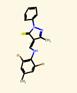 CC1=NN(c2ccccc2)C(=S)/C1=C/Nc1c(Br)cc(C)cc1Br